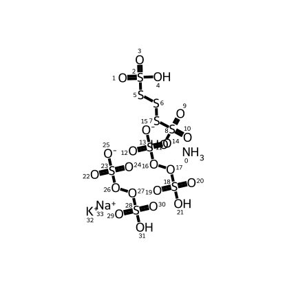 N.O=S(=O)(O)SSSS(=O)(=O)O.O=S(=O)([O-])OOS(=O)(=O)O.O=S(=O)([O-])OOS(=O)(=O)O.[K+].[Na+]